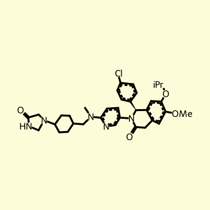 COc1cc2c(cc1OC(C)C)[C@H](c1ccc(Cl)cc1)N(c1ccc(N(C)CC3CCC(N4CNC(=O)C4)CC3)nc1)C(=O)C2